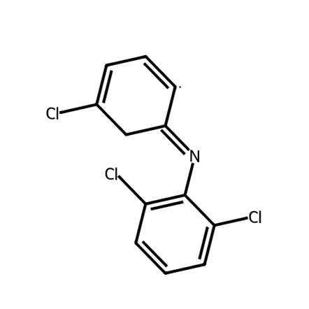 ClC1=CC=[C]C(=Nc2c(Cl)cccc2Cl)C1